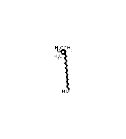 CC1=C(CCCCCCCCCCCCCCCO)CC(C)(C)C1=O